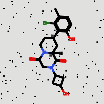 Cc1ccc(O)c([C@@H]2CCN3C(=O)CN(C4CC(O)C4)C(=O)[C@@H]3C2)c1Cl